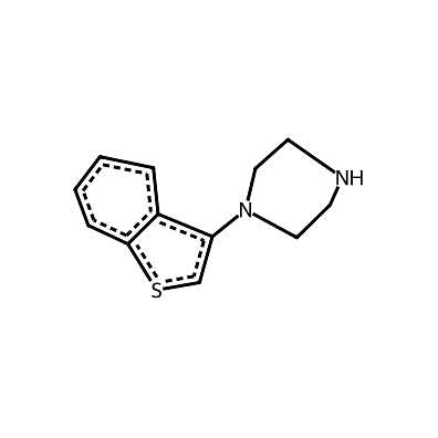 c1ccc2c(N3CCNCC3)csc2c1